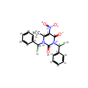 Cc1c([N+](=O)[O-])c(=O)n(C(F)c2ccccc2)c(=O)n1C(F)c1ccccc1